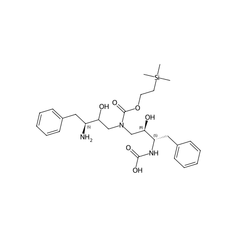 C[Si](C)(C)CCOC(=O)N(CC(O)[C@@H](N)Cc1ccccc1)C[C@@H](O)[C@H](Cc1ccccc1)NC(=O)O